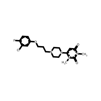 Cn1c(N2CCN(CCCOc3ccc(F)c(Cl)c3)CC2)cc(=O)n(C)c1=O